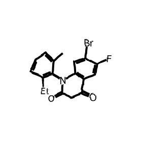 CCc1cccc(C)c1N1C(=O)CC(=O)c2cc(F)c(Br)cc21